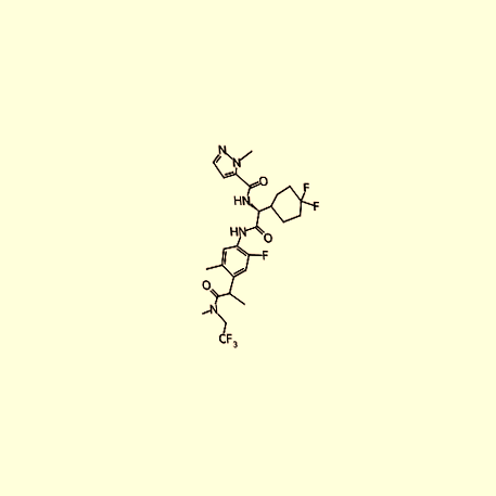 Cc1cc(NC(=O)[C@@H](NC(=O)c2ccnn2C)C2CCC(F)(F)CC2)c(F)cc1C(C)C(=O)N(C)CC(F)(F)F